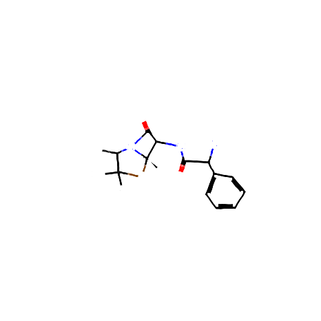 CC1(C)S[C@H]2C(NC(=O)C(N)c3ccccc3)C(=O)N2C1C(=O)O